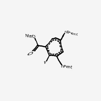 CCCCCc1cc(CCCCC)c(F)c(C(=O)OC)c1